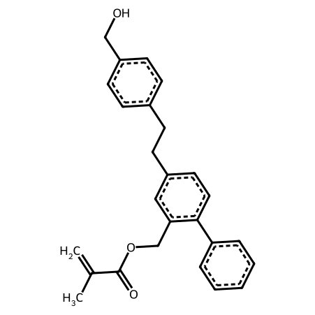 C=C(C)C(=O)OCc1cc(CCc2ccc(CO)cc2)ccc1-c1ccccc1